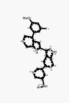 COc1cc(F)cc(-c2cncc3[nH]c(-c4n[nH]c5cnc(-c6cncc(NC(C)C)c6)cc45)cc23)c1